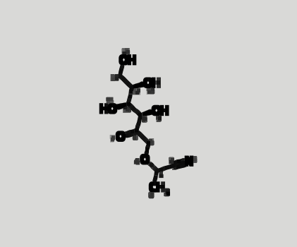 CC(C#N)OCC(=O)[C@H](O)[C@@H](O)[C@H](O)CO